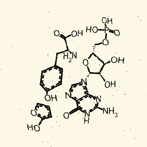 N[C@@H](Cc1ccc(O)cc1)C(=O)O.Nc1nc2c(ncn2[C@@H]2O[C@H](COP(=O)(O)O)[C@@H](O)[C@H]2O)c(=O)[nH]1.Oc1ccco1